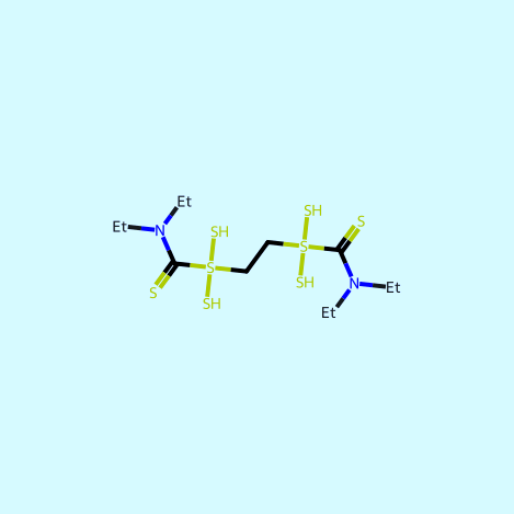 CCN(CC)C(=S)S(S)(S)CCS(S)(S)C(=S)N(CC)CC